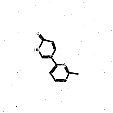 Cc1cccc(-c2ccc(=O)[nH]c2)n1